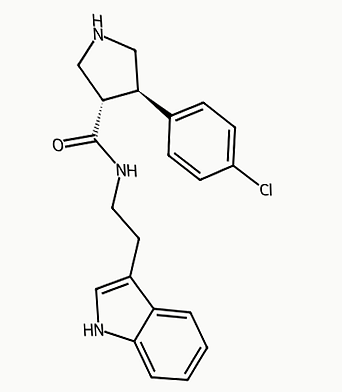 O=C(NCCc1c[nH]c2ccccc12)[C@@H]1CNC[C@H]1c1ccc(Cl)cc1